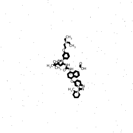 CCN(CC)CCOc1cccc(-n2nc(C(C)(C)C)cc2NC(=O)N[C@H]2CC[C@@H](Oc3ccc4nnc(N5CCCCC5C)n4c3)c3ccccc32)c1.O=CO